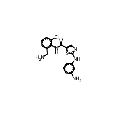 NCc1cccc(Cl)c1NC(=O)c1cnc(Nc2cccc(N)c2)s1